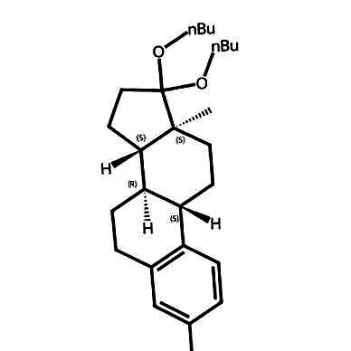 CCCCOC1(OCCCC)CC[C@H]2[C@@H]3CCc4cc(OC)ccc4[C@H]3CC[C@@]21C